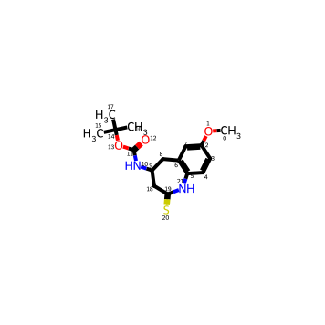 COc1ccc2c(c1)CC(NC(=O)OC(C)(C)C)CC(=S)N2